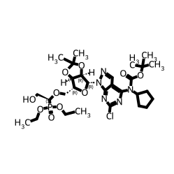 CCOP(=O)(OCC)[C@@H](CO)OC[C@H]1O[C@@H](n2ncc3c(N(C(=O)OC(C)(C)C)C4CCCC4)nc(Cl)nc32)[C@@H]2OC(C)(C)O[C@@H]21